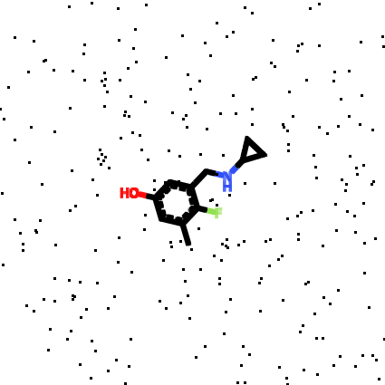 Cc1cc(O)cc(CNC2CC2)c1F